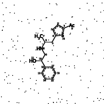 CC(=O)c1ccc(CC(C)NCC(O)c2ccccc2)s1